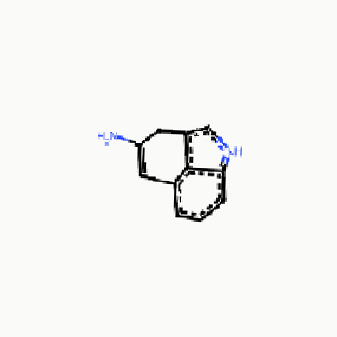 NC1=Cc2cccc3[nH]cc(c23)C1